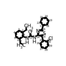 CCc1cccc(CC)c1NC(=O)Nc1nc(-c2ccccc2)sc1-c1ccccc1Cl